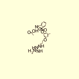 CC(=O)O.Cc1cc(OCCCNNC(=N)N)cc(OS(=O)(=O)c2ccccc2C#N)c1